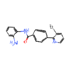 CCc1cccnc1-c1ccc(C(=O)Nc2ccccc2N)cc1